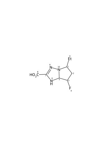 CCC1CC(F)C2NC(C(=O)O)=NN12